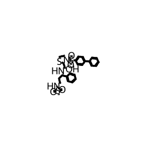 CS(=O)(=O)NCCC(NC(O)C1SCCN1S(=O)(=O)c1ccc(-c2ccccc2)cc1)c1ccccc1